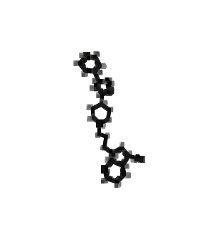 CC(=O)c1cn(CCCN2CCC(c3nc(-c4ccncc4)no3)CC2)c2ncccc12